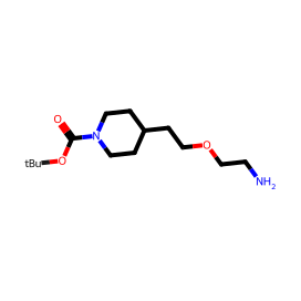 CC(C)(C)OC(=O)N1CCC(CCOCCN)CC1